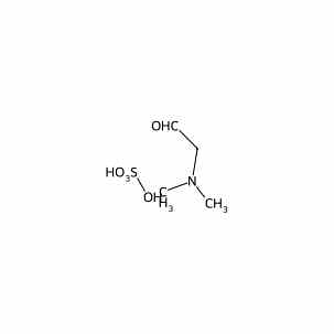 CN(C)CC=O.O=S(=O)(O)O